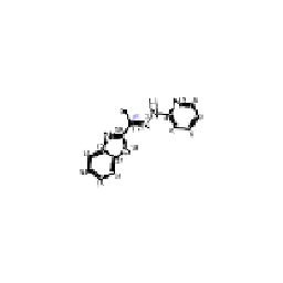 C/C(=N\Nc1ccccn1)c1nc2ccccc2s1